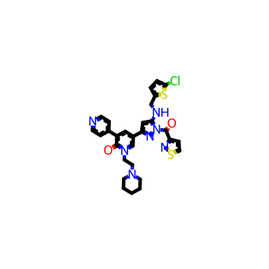 O=C(c1ccsn1)n1nc(-c2cc(-c3ccncc3)c(=O)n(CCN3CCCCC3)c2)cc1NCc1ccc(Cl)s1